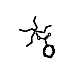 CCCP(CCC)(CCC)(CCC)OC(=O)c1ccccc1